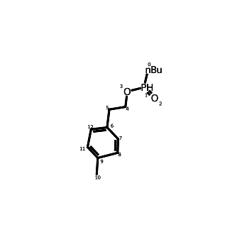 CCCC[PH](=O)OCCc1ccc(C)cc1